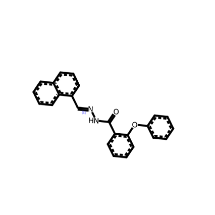 O=C(N/N=C/c1cccc2ccccc12)c1ccccc1Oc1ccccc1